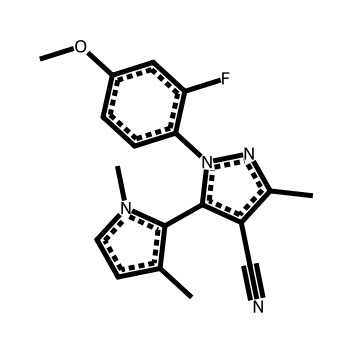 COc1ccc(-n2nc(C)c(C#N)c2-c2c(C)ccn2C)c(F)c1